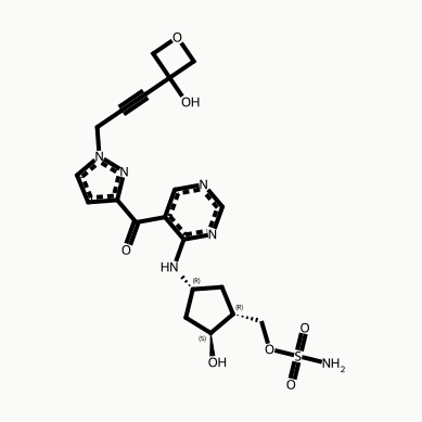 NS(=O)(=O)OC[C@H]1C[C@@H](Nc2ncncc2C(=O)c2ccn(CC#CC3(O)COC3)n2)C[C@@H]1O